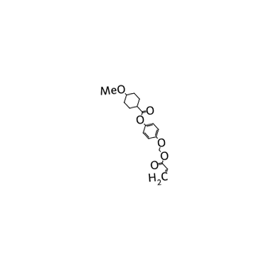 C=CC(=O)OCOc1ccc(OC(=O)C2CCC(OC)CC2)cc1